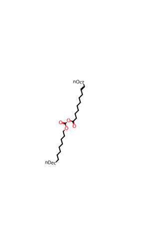 CCCCCCCCC=CCCCCCCCC(=O)OC(=O)OCCCCCCCCCCCCCCCCCC